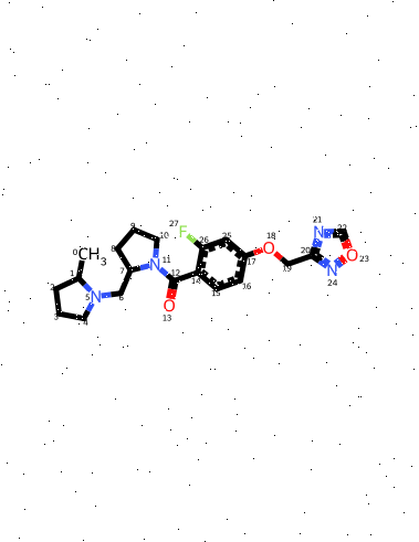 CC1CCCN1CC1CCCN1C(=O)c1ccc(OCc2ncon2)cc1F